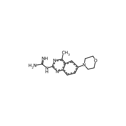 Cc1nc(NC(=N)N)nc2ccc(N3CCOCC3)cc12